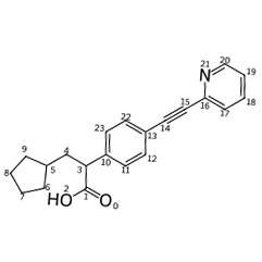 O=C(O)C(CC1CCCC1)c1ccc(C#Cc2ccccn2)cc1